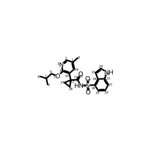 Cc1cnc(OCC(C)C)c(C2(C(=O)NS(=O)(=O)c3cccc4[nH]ccc34)CC2)c1